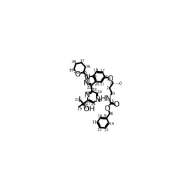 C[C@H](CCNC(=O)OCc1ccccc1)Oc1ccc2c(c1)c(-c1cncc(C(C)(O)I)n1)nn2C1CCCCO1